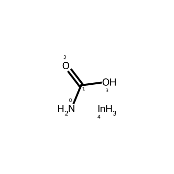 NC(=O)O.[InH3]